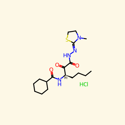 CCCC[C@@H](NC(=O)C1CCCCC1)C(=O)C(=O)NN=C1SCCN1C.Cl